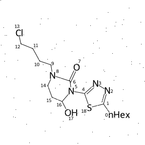 CCCCCCc1nnc(N2C(=O)N(CCCCCl)CCC2O)s1